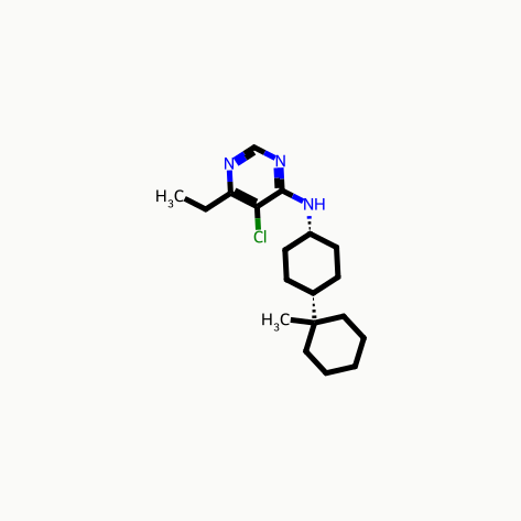 CCc1ncnc(N[C@H]2CC[C@@H](C3(C)CCCCC3)CC2)c1Cl